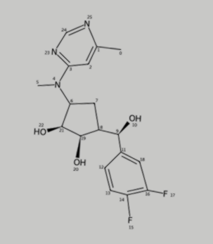 Cc1cc(N(C)C2CC([C@@H](O)c3ccc(F)c(F)c3)[C@@H](O)[C@H]2O)ncn1